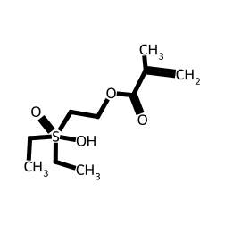 C=C(C)C(=O)OCCS(=O)(O)(CC)CC